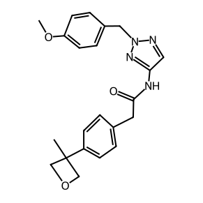 COc1ccc(Cn2ncc(NC(=O)Cc3ccc(C4(C)COC4)cc3)n2)cc1